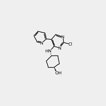 O[C@H]1CC[C@H](Nc2nc(Cl)ncc2-c2ccccn2)CC1